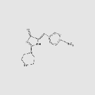 O=C1N=C(N2CCNCC2)N/C1=C\c1ccc([N+](=O)[O-])cc1